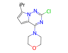 CC(C)c1ccc2c(N3CCOCC3)nc(Cl)nn12